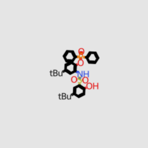 CC(C)(C)c1ccc(OP(=O)(c2ccccc2)c2ccccc2)c(NS(=O)(=O)c2cc(C(C)(C)C)ccc2O)c1